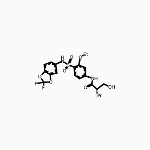 CCOc1cc(NC(=O)[C@@H](CO)C(C)C)ccc1S(=O)(=O)Nc1ccc2c(c1)OC(F)(F)O2